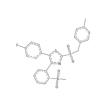 Cc1ccc(CS(=O)(=O)c2nc(-c3ccccc3S(C)(=O)=O)c(-c3ccc(F)cc3)s2)cc1